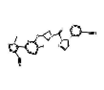 Cn1ncc(C#N)c1-c1ccc(F)c(OC2CN(C(=O)N3N=CC[C@H]3c3cncc(C#N)c3)C2)n1